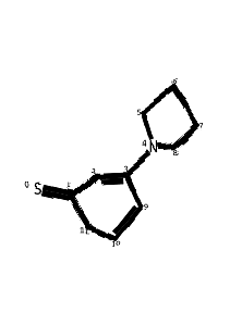 S=C1C=C(N2[CH]CCC2)C=CC1